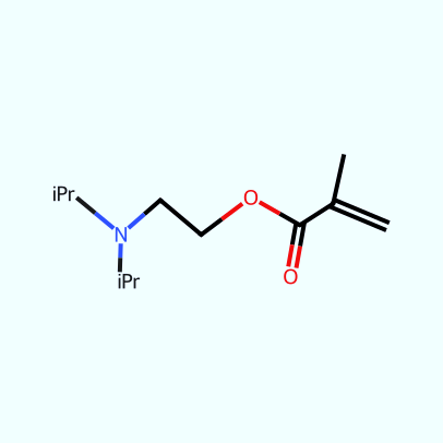 C=C(C)C(=O)OCCN(C(C)C)C(C)C